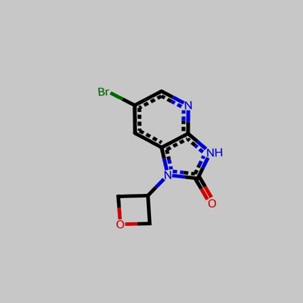 O=c1[nH]c2ncc(Br)cc2n1C1COC1